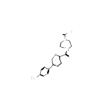 O=C(O)N1CCN(C(=O)C23CCC(c4ccc(Br)cc4)(CC2)CC3)CC1